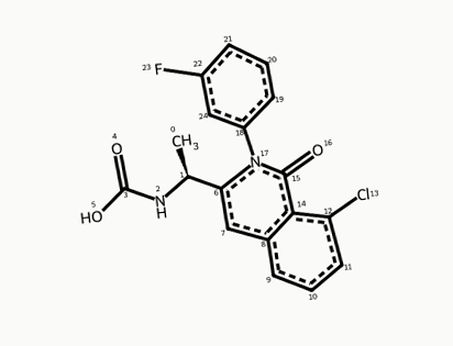 C[C@H](NC(=O)O)c1cc2cccc(Cl)c2c(=O)n1-c1cccc(F)c1